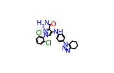 NC(=O)c1nn(-c2c(Cl)cccc2Cl)cc1Nc1ccc(-n2nnc3c2CCCC3)cc1